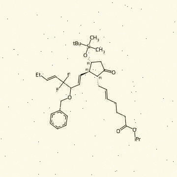 CCC=CC(F)(F)C(C=C[C@H]1[C@H](O[Si](C)(C)C(C)(C)C)CC(=O)[C@@H]1CC=CCCCC(=O)OC(C)C)OCc1ccccc1